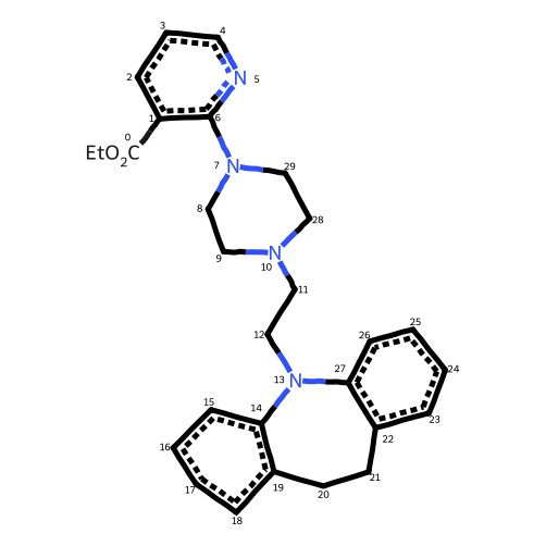 CCOC(=O)c1cccnc1N1CCN(CCN2c3ccccc3CCc3ccccc32)CC1